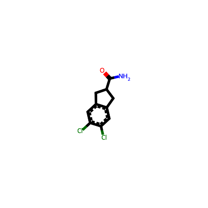 NC(=O)C1Cc2cc(Cl)c(Cl)cc2C1